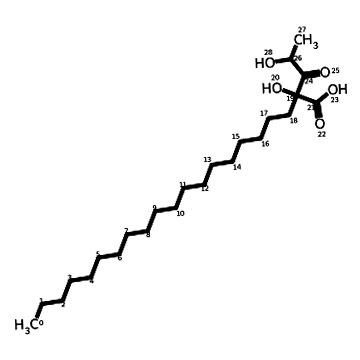 CCCCCCCCCCCCCCCCCCCC(O)(C(=O)O)C(=O)C(C)O